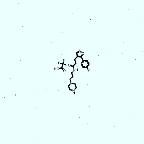 CN1CCN(CCCNC(=O)CCc2cnoc2-c2ccc(F)cc2)CC1.O=C(O)C(F)(F)F